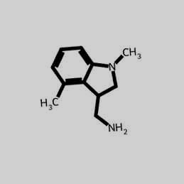 Cc1cccc2c1C(CN)CN2C